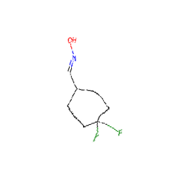 O/N=C/C1CCC(F)(F)CC1